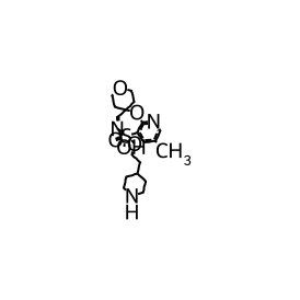 Cc1cnc2c(c1)S(=O)(O)(OCCC1CCNCC1)N=CC1(CCOCC1)O2